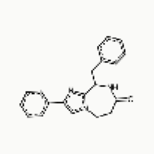 O=C1CCn2cc(-c3ccccc3)nc2C(Cc2ccccc2)N1